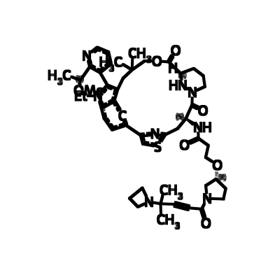 CCn1c(-c2cccnc2[C@H](C)OC)c2c3cc(ccc31)-c1csc(n1)C[C@H](NC(=O)CCO[C@@H]1CCN(C(=O)C#CC(C)(C)N3CCC3)C1)C(=O)N1CCC[C@H](N1)C(=O)OCC(C)(C)C2